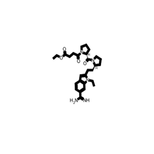 CCOC(=O)CCC(=O)N1CCC[C@@H]1C(=O)N1CCC[C@H]1CCc1cc2ccc(C(=N)N)cc2n1CC